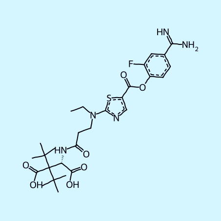 CCN(CCC(=O)N[C@H](C(=O)O)C(C(=O)O)(C(C)(C)C)C(C)(C)C)c1ncc(C(=O)Oc2ccc(C(=N)N)cc2F)s1